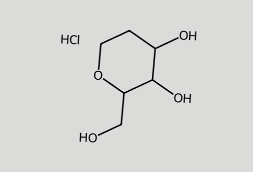 Cl.OCC1OCCC(O)C1O